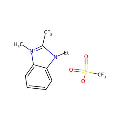 CCn1c(C(F)(F)F)[n+](C)c2ccccc21.O=S(=O)([O-])C(F)(F)F